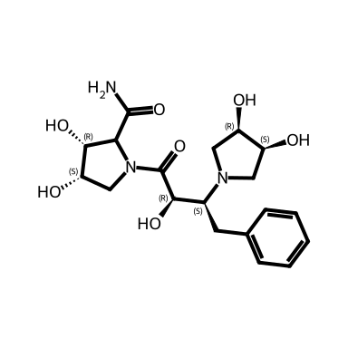 NC(=O)C1[C@@H](O)[C@@H](O)CN1C(=O)[C@H](O)[C@H](Cc1ccccc1)N1C[C@@H](O)[C@@H](O)C1